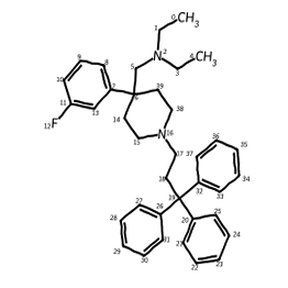 CCN(CC)CC1(c2cccc(F)c2)CCN(CCC(c2ccccc2)(c2ccccc2)c2ccccc2)CC1